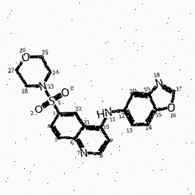 O=S(=O)(c1ccc2nccc(Nc3ccc4ocnc4c3)c2c1)N1CCOCC1